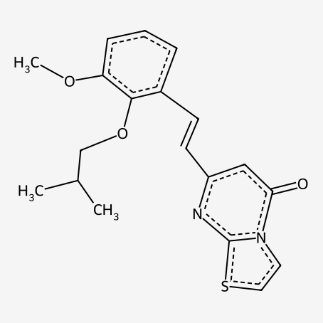 COc1cccc(C=Cc2cc(=O)n3ccsc3n2)c1OCC(C)C